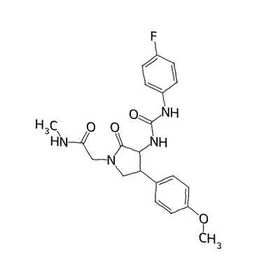 CNC(=O)CN1CC(c2ccc(OC)cc2)C(NC(=O)Nc2ccc(F)cc2)C1=O